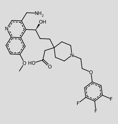 COc1ccc2ncc(CN)c([C@@H](O)CCC3(CC(=O)O)CCN(CCOc4cc(F)c(F)c(F)c4)CC3)c2c1